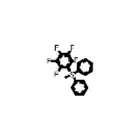 CS(c1ccccc1)(c1ccccc1)c1c(F)c(F)c(F)c(F)c1F